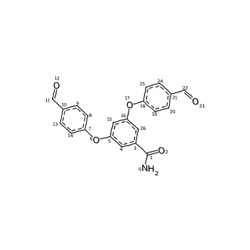 NC(=O)c1cc(Oc2ccc(C=O)cc2)cc(Oc2ccc(C=O)cc2)c1